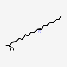 CCCCCCC/C=C/CCCCCCCCC(C)=O